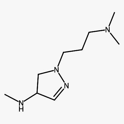 CNC1C=NN(CCCN(C)C)C1